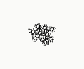 Cc1cc(C)c(B2c3ccccc3C(c3ccccc3)c3cc4c(cc32)N(c2ccccc2)c2cccc3c2B4c2cc4c(cc2N3c2ccccc2)c2c3n4-c4ccccc4C3CC=C2)c(C)c1